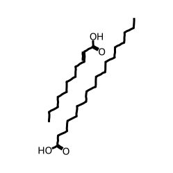 CCCCCCCCC=CC(=O)O.CCCCCCCCCCCCCCCCCC(=O)O